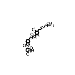 CNCCOCCc1ccc(NC(=O)NCc2ccc3c(c2)CN(C2CCC(=O)NC2=O)C3=O)cc1Cl